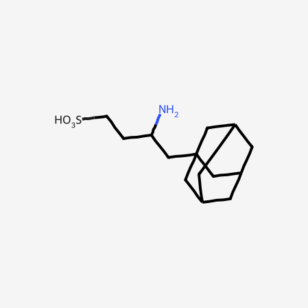 NC(CCS(=O)(=O)O)CC12CC3CC(CC(C3)C1)C2